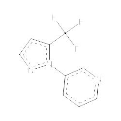 FC(F)(F)c1[c]cnn1-c1cccnc1